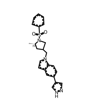 C[C@H]1CC(Cn2ccc3cc(-c4cn[nH]c4)ccc32)CN1S(=O)(=O)c1ccccc1